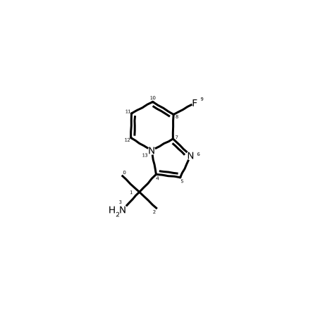 CC(C)(N)c1cnc2c(F)cccn12